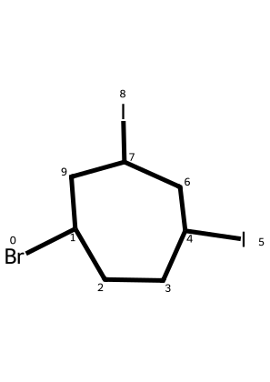 BrC1CCC(I)CC(I)C1